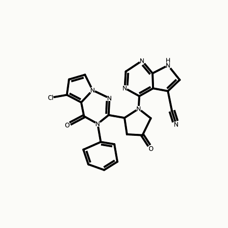 N#Cc1c[nH]c2ncnc(N3CC(=O)CC3c3nn4ccc(Cl)c4c(=O)n3-c3ccccc3)c12